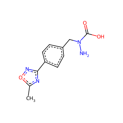 Cc1nc(-c2ccc(CN(N)C(=O)O)cc2)no1